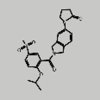 CC(C)Oc1ccc(S(C)(=O)=O)cc1C(=O)N1Cc2ccc(N3CCCC3=O)cc2C1